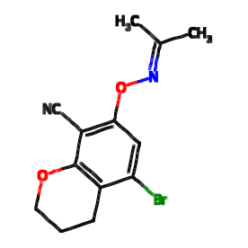 CC(C)=NOc1cc(Br)c2c(c1C#N)OCCC2